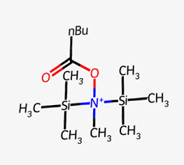 CCCCC(=O)O[N+](C)([Si](C)(C)C)[Si](C)(C)C